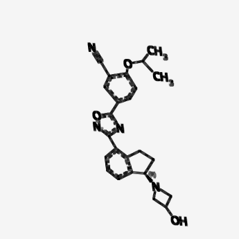 CC(C)Oc1ccc(-c2nc(-c3cccc4c3CC[C@H]4N3CC(O)C3)no2)cc1C#N